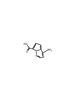 Nc1ncnn2c(C(=O)O)ccc12